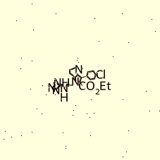 CCOC(=O)c1c(-c2ccc(Cl)cc2)c2ncccc2n1CCNc1nnc[nH]1